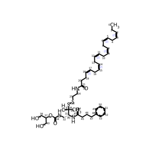 CC/C=C\C/C=C\C/C=C\C/C=C\C/C=C\C/C=C\CCC(=O)NCCSSC(C)(C)[C@@H](CNC(=O)OC(CO)CO)NC(=O)CCCc1ccccc1